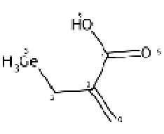 C=C([CH2][GeH3])C(=O)O